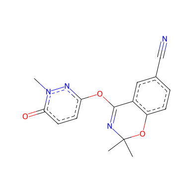 Cn1nc(OC2=NC(C)(C)Oc3ccc(C#N)cc32)ccc1=O